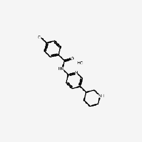 Cl.O=C(Nc1ccc(C2CCCNC2)cn1)c1ccc(Cl)cc1